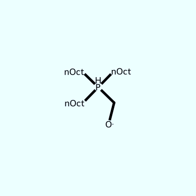 CCCCCCCC[PH](C[O])(CCCCCCCC)CCCCCCCC